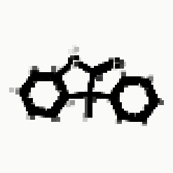 CC1(c2ccccc2)C(=O)Oc2ccccc21